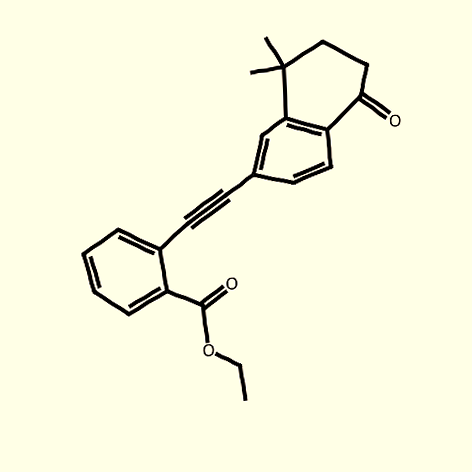 CCOC(=O)c1ccccc1C#Cc1ccc2c(c1)C(C)(C)CCC2=O